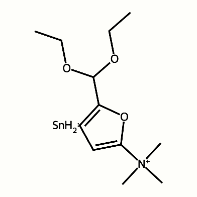 CCOC(OCC)c1ccc([N+](C)(C)C)o1.[SnH2]